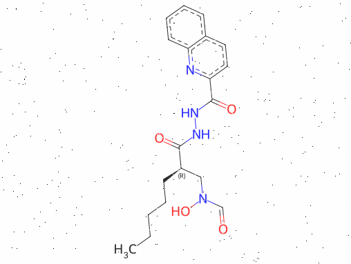 CCCCC[C@H](CN(O)C=O)C(=O)NNC(=O)c1ccc2ccccc2n1